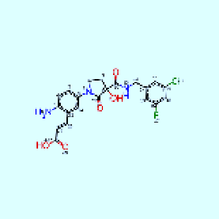 Nc1ccc(N2CCC(O)(C(=O)NCc3cc(F)cc(Cl)c3)C2=O)cc1/C=C/C(=O)O